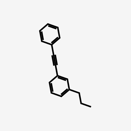 CCCc1cccc(C#Cc2ccccc2)c1